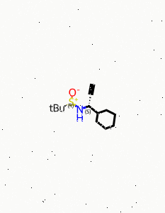 C#C[C@@H](N[S@@+]([O-])C(C)(C)C)C1CCCCC1